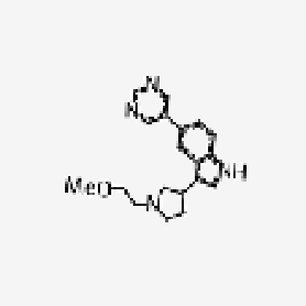 COCCN1CCC(c2c[nH]c3ccc(-c4cncnc4)cc23)C1